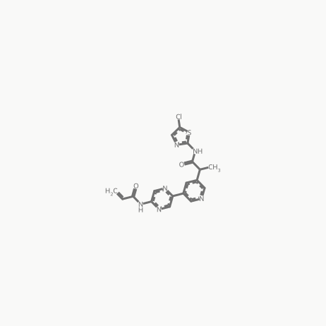 C=CC(=O)Nc1cnc(-c2cncc(C(C)C(=O)Nc3ncc(Cl)s3)c2)cn1